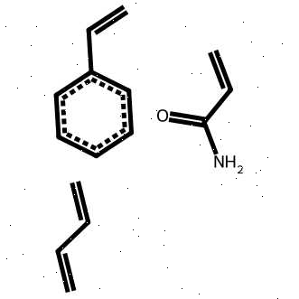 C=CC(N)=O.C=CC=C.C=Cc1ccccc1